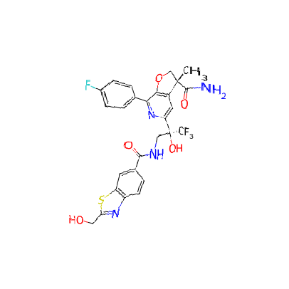 C[C@]1(C(N)=O)COc2c1cc([C@@](O)(CNC(=O)c1ccc3nc(CO)sc3c1)C(F)(F)F)nc2-c1ccc(F)cc1